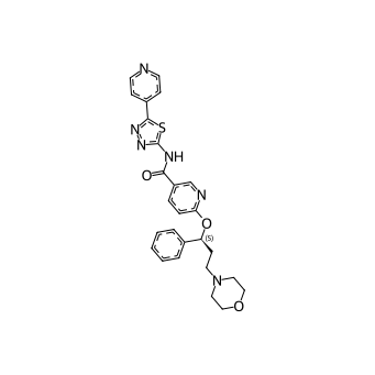 O=C(Nc1nnc(-c2ccncc2)s1)c1ccc(O[C@@H](CCN2CCOCC2)c2ccccc2)nc1